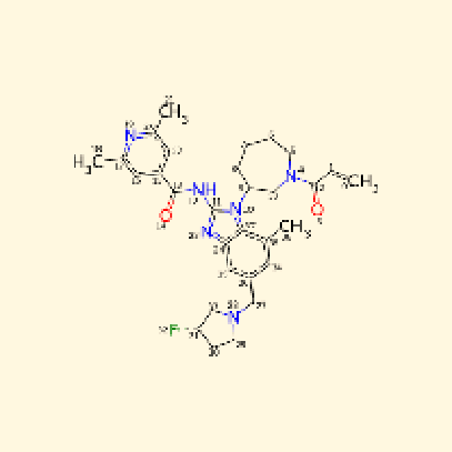 C=CC(=O)N1CCCCC(n2c(NC(=O)c3cc(C)nc(C)c3)nc3cc(CN4CC[C@H](F)C4)cc(C)c32)C1